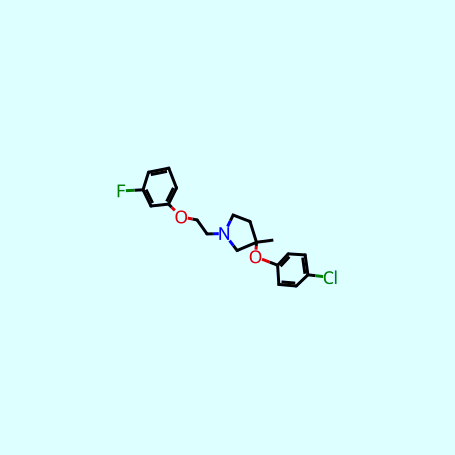 CC1(Oc2ccc(Cl)cc2)CCN(CCOc2cccc(F)c2)C1